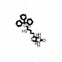 O=C1N[C@H]2[C@H](CS[C@H]2CCCC(S)C(=O)OC(c2ccccc2)(c2ccccc2)c2ccccc2)N1